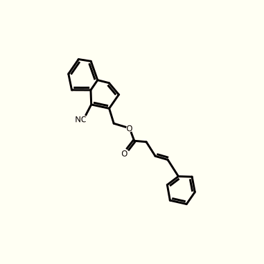 N#Cc1c(COC(=O)CC=Cc2ccccc2)ccc2ccccc12